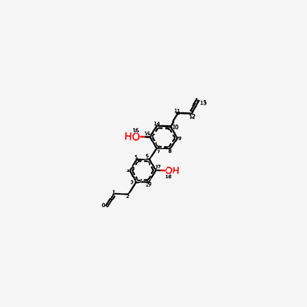 C=CCc1ccc(-c2ccc(CC=C)cc2O)c(O)c1